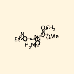 C=CC(=O)N1C[C@@H](n2nc(C#Cc3ccc4c(c3)ncn4CC)c3c(N)nccc32)C[C@@H]1COC